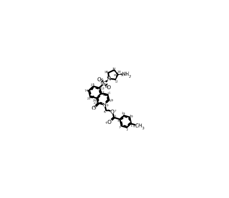 Cc1ccc(C(=O)OCn2ccc3c(S(=O)(=O)N4CC[C@@H](N)C4)cccc3c2=O)cc1